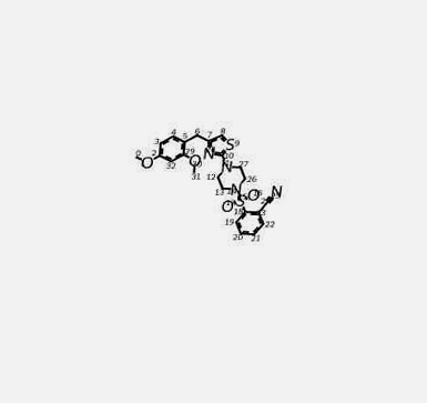 COc1ccc(Cc2csc(N3CCN(S(=O)(=O)c4ccccc4C#N)CC3)n2)c(OC)c1